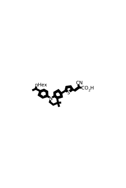 CCCCCCC(C)c1ccc(N2CCC(C)(C)c3cc(-c4ccc(/C=C(\C#N)C(=O)O)s4)ccc32)cc1